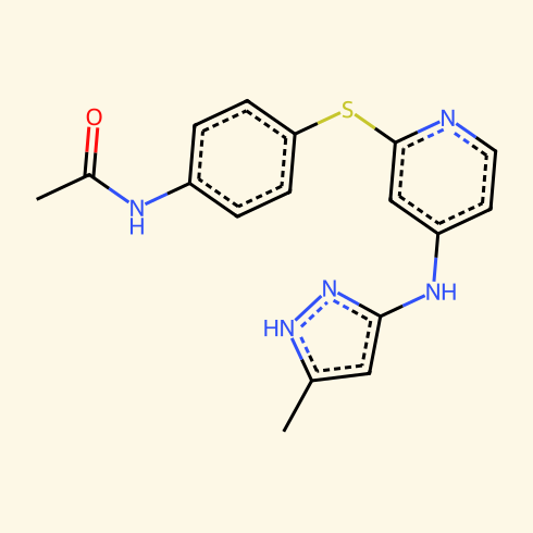 CC(=O)Nc1ccc(Sc2cc(Nc3cc(C)[nH]n3)ccn2)cc1